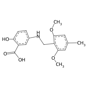 COc1cc(C)cc(OC)c1CNc1ccc(O)c(C(=O)O)c1